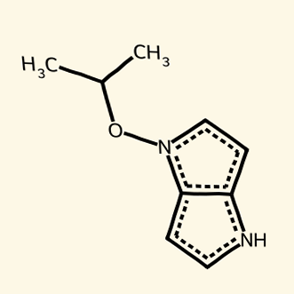 CC(C)On1ccc2[nH]ccc21